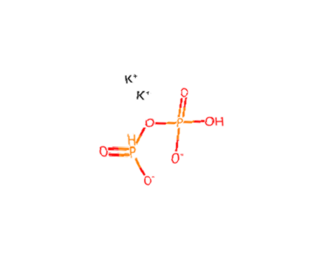 O=[PH]([O-])OP(=O)([O-])O.[K+].[K+]